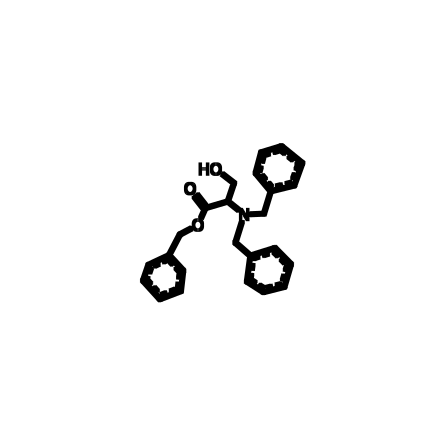 O=C(OCc1ccccc1)C(CO)N(Cc1ccccc1)Cc1ccccc1